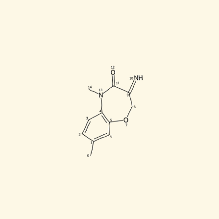 Cc1ccc2c(c1)OCC(=N)C(=O)N2C